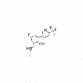 CC(C)(C)NCc1cc(F)cc(-c2ccc(C(F)(F)F)nc2)c1O